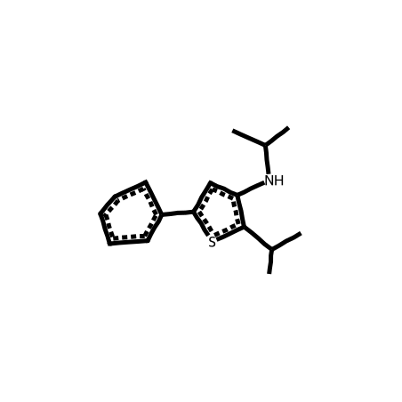 CC(C)Nc1cc(-c2ccccc2)sc1C(C)C